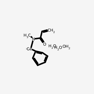 C=CC(=O)[N](C)[Ge][c]1ccccc1.O.O.O